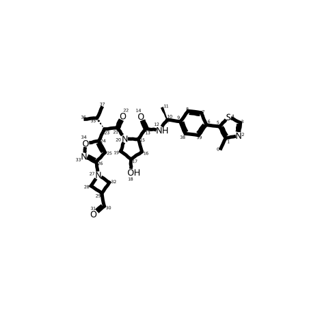 Cc1ncsc1-c1ccc([C@H](C)NC(=O)C2CC(O)CN2C(=O)[C@H](c2cc(N3CC(C=O)C3)no2)C(C)C)cc1